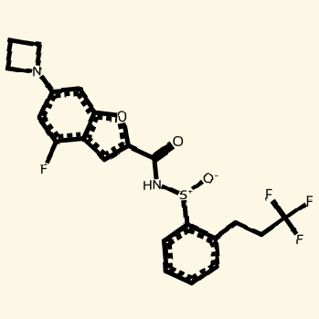 O=C(N[S+]([O-])c1ccccc1CCC(F)(F)F)c1cc2c(F)cc(N3CCC3)cc2o1